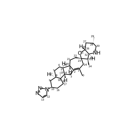 CC1=C2C[C@H]3[C@@H](CC[C@@H]4C[C@H](n5ccnn5)CC[C@@]43C)[C@@H]2CC[C@@]2(C1)O[C@@H]1C[C@H](C)CN[C@H]1[C@H]2C